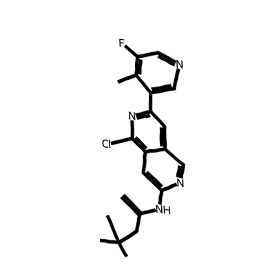 C=C(CC(C)(C)C)Nc1cc2c(Cl)nc(-c3cncc(F)c3C)cc2cn1